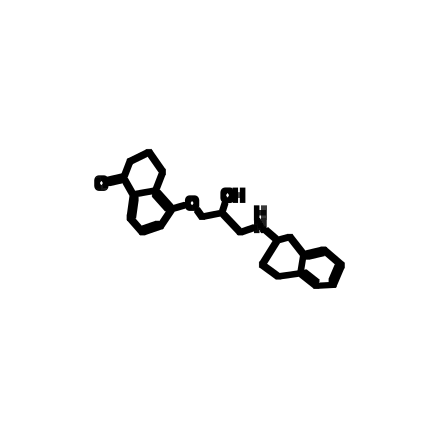 O=C1CCCc2c(OCC(O)CNC3CCc4ccccc4C3)cccc21